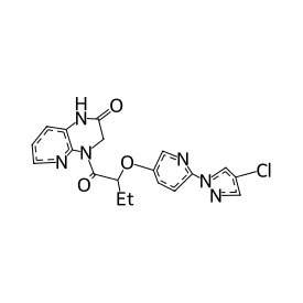 CCC(Oc1ccc(-n2cc(Cl)cn2)nc1)C(=O)N1CC(=O)Nc2cccnc21